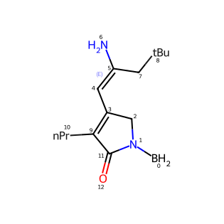 BN1CC(/C=C(/N)CC(C)(C)C)=C(CCC)C1=O